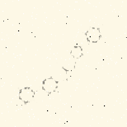 Cc1ccc(-c2cn(CC(=O)Nc3ccc(-c4ccccn4)cn3)cn2)cn1